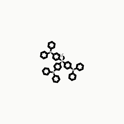 CC[Si](c1ccc(N(c2ccccc2)c2ccccc2)cc1)(c1ccc(N(c2ccccc2)c2ccccc2)cc1)c1ccc(N(c2ccccc2)c2ccccc2)cc1